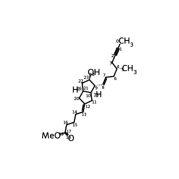 CC#CC[C@H](C)C/C=C/[C@@H]1[C@H]2C/C(=C/CCCC(=O)OC)C[C@H]2C[C@H]1O